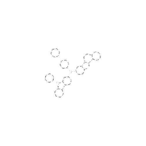 c1ccc(-c2ccc(N(c3ccc4oc5c6ccccc6ccc5c4c3)c3ccc4c5ccccc5n(-c5ccccc5)c4c3)cc2)cc1